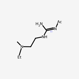 CCN(C)CCN/C(N)=N/C(C)=O